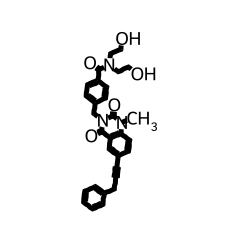 Cn1c(=O)n(Cc2ccc(C(=O)N(CCO)CCO)cc2)c(=O)c2cc(C#CCc3ccccc3)ccc21